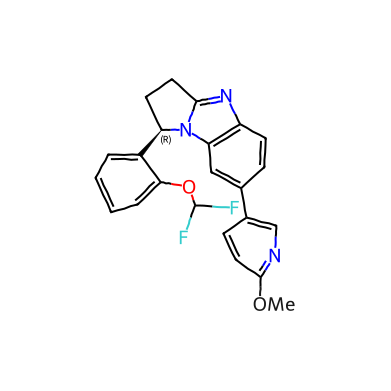 COc1ccc(-c2ccc3nc4n(c3c2)[C@@H](c2ccccc2OC(F)F)CC4)cn1